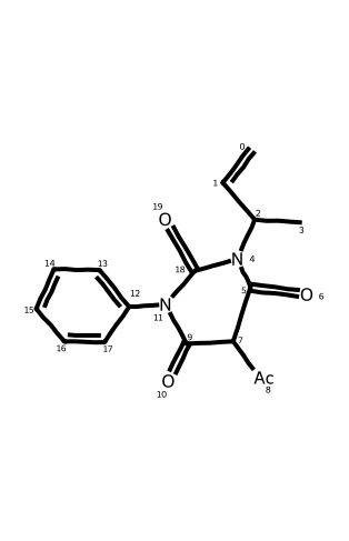 C=CC(C)N1C(=O)C(C(C)=O)C(=O)N(c2ccccc2)C1=O